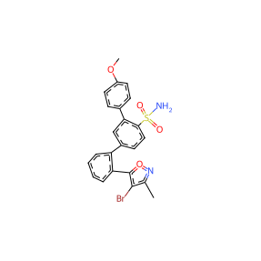 COc1ccc(-c2cc(-c3ccccc3-c3onc(C)c3Br)ccc2S(N)(=O)=O)cc1